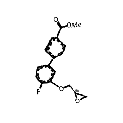 COC(=O)c1ccc(-c2ccc(F)c(OC[C@H]3CO3)c2)cc1